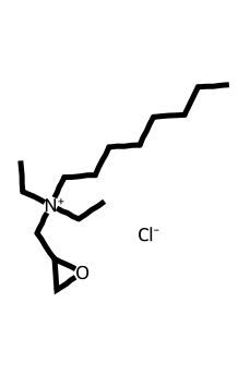 CCCCCCCC[N+](CC)(CC)CC1CO1.[Cl-]